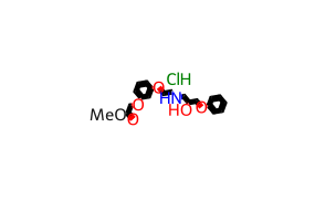 COC(=O)COc1cccc(OCCNCC(O)COc2ccccc2)c1.Cl